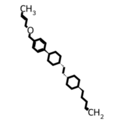 C=CCCC[C@H]1CC[C@H](CC[C@H]2CC[C@H](c3ccc(COCC=CC)cc3)CC2)CC1